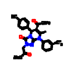 COC(=O)Cn1nc2n(c1=O)C(c1ccc(C#N)cc1)C(C(=O)OC)=C(C)N2c1cccc(C(F)(F)F)c1